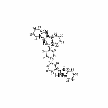 c1cc(-c2ccc(-c3nc4c(nc5ccccn54)c4ccccc34)cc2)cc(C2Nc3ccccc3S2)c1